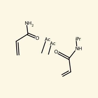 C=CC(=O)NC(C)C.C=CC(N)=O.CC(C)=O.CC(C)=O